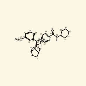 C=CCN1C2CCC1CN(C(c1ccc(C(=O)NC3CCCCC3)cc1)c1cccc(OC)c1)C2